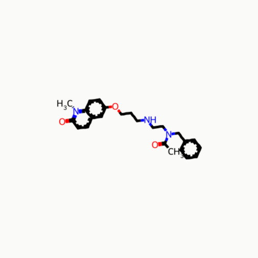 CC(=O)N(CCNCCCOc1ccc2c(ccc(=O)n2C)c1)Cc1ccccc1